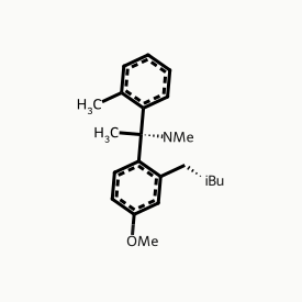 CC[C@@H](C)Cc1cc(OC)ccc1[C@](C)(NC)c1ccccc1C